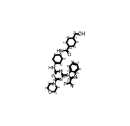 O=C(N[C@H]1CC[C@H](Nc2nc(N3CCOCC3)nc(-n3c(C(F)F)nc4ccccc43)n2)CC1)C1CCC(CO)CC1